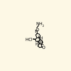 C=C1C[C@@H]2[C@@H](CC[C@]3(C)C(=O)CC[C@@H]23)[C@@]2(C)CCC(=NOCCN)CC12.Cl